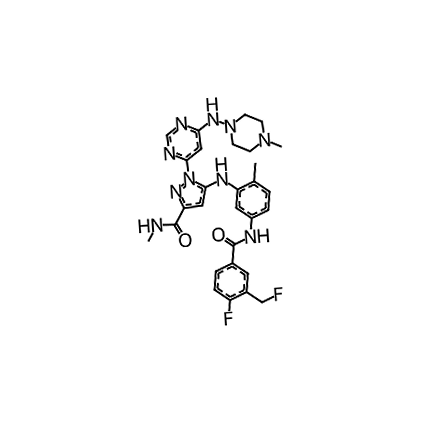 CNC(=O)c1cc(Nc2cc(NC(=O)c3ccc(F)c(CF)c3)ccc2C)n(-c2cc(NN3CCN(C)CC3)ncn2)n1